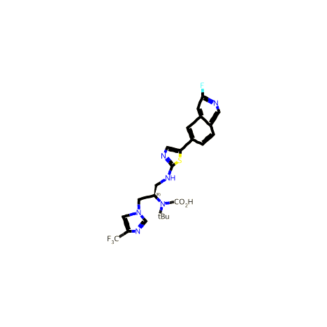 CC(C)(C)N(C(=O)O)[C@H](CNc1ncc(-c2ccc3cnc(F)cc3c2)s1)Cn1cnc(C(F)(F)F)c1